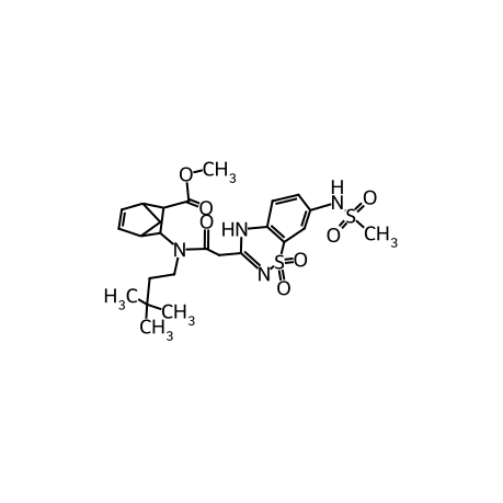 COC(=O)C1C2C=CC(C2)C1N(CCC(C)(C)C)C(=O)CC1=NS(=O)(=O)c2cc(NS(C)(=O)=O)ccc2N1